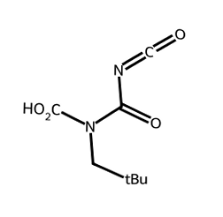 CC(C)(C)CN(C(=O)O)C(=O)N=C=O